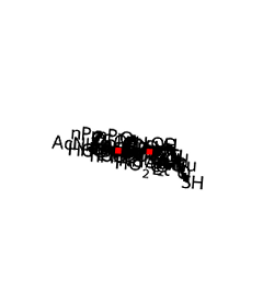 C=C(C)C(=O)OCC1O[C@@H](O[C@H]2C(C(=O)O)O[C@@H](C(CCC)(CCCC)C(CC)(CCC)OC3C(NC(C)=O)[C@H](O[C@H]4C(C(=O)O)O[C@@H](C(C)(CC)CCCC)C(O)C4O)OC(COC(=O)C(C)CSCCOCCOCCS)[C@H]3O)[C@@H](O)C2O)C(NC(C)=O)C(OC(CCC)(CCCC)C(CC)(CCC)[C@@H]2OC(C(=O)O)[C@H](O[C@H](OC(C)CO)C(NC(C)=O)[C@@H](C)OC(C)(CCC)CCC)C(O)[C@@H]2O)[C@@H]1O